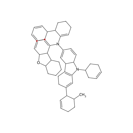 CC1CCC=CC1C1=CC2=C(CC1)C1C=C(N(C3=CCCCC3C3C=CC=CC3)C3=CC=CC4OC5CCCCC5C34)C=CC1N2C1CC=CCC1